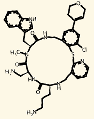 CN1C(=O)[C@H](CN)NC(=O)[C@H](CCCN)NCc2cccnc2Sc2c(Cl)cc(C3=CCOCC3)cc2CNC(=O)[C@@H]1Cc1c[nH]c2ccccc12